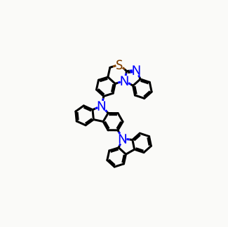 c1ccc2c(c1)nc1n2-c2cc(-n3c4ccccc4c4cc(-n5c6ccccc6c6ccccc65)ccc43)ccc2CS1